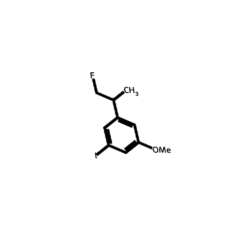 COc1cc(I)cc([C](C)CF)c1